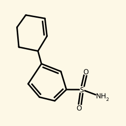 NS(=O)(=O)c1cccc(C2C=CCCC2)c1